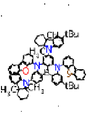 CC(C)(C)c1ccc2c(c1)N(c1cccc3c1sc1ccccc13)c1cc(N3c4ccc(C(C)(C)C)cc4C4(C)CCCCC34C)cc3c1B2c1ccc(N2c4ccccc4C4(C)CCCCC24C)cc1N3c1cccc2c1oc1ccccc12